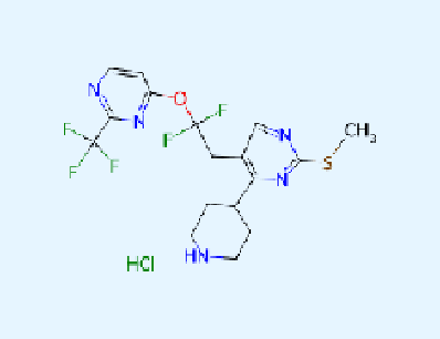 CSc1ncc(CC(F)(F)Oc2ccnc(C(F)(F)F)n2)c(C2CCNCC2)n1.Cl